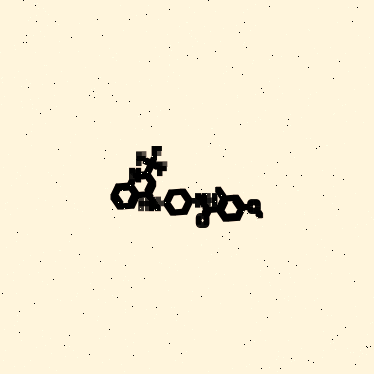 COc1ccc(C(=O)N[C@H]2CC[C@@H](Nc3cc(C(F)(F)F)nc4ccccc34)CC2)c(C)c1